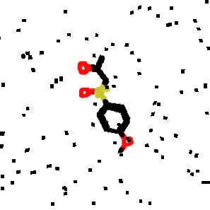 COc1ccc([S+]([O-])CC(C)=O)cc1